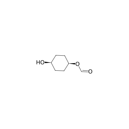 O=CO[C@H]1CC[C@@H](O)CC1